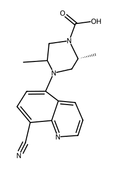 CC1CN(C(=O)O)[C@H](C)CN1c1ccc(C#N)c2ncccc12